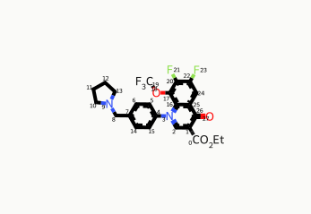 CCOC(=O)c1cn(-c2ccc(CN3CCCC3)cc2)c2c(OC(F)(F)F)c(F)c(F)cc2c1=O